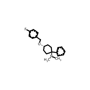 CN(C)[C@]1(c2ccccc2)CC[C@@H](OCc2ccc(F)cc2)CC1